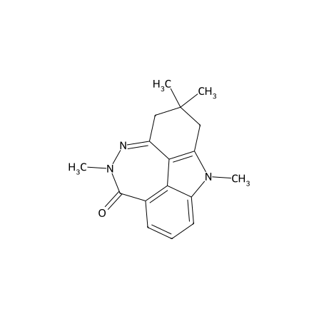 CN1N=C2CC(C)(C)Cc3c2c2c(cccc2n3C)C1=O